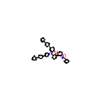 c1ccc(-c2ccc(-c3ccc(N(c4cccc(-c5ccc(-c6ccccc6)cc5)c4)c4cccc5c4oc4ccc6oc(-c7ccccc7)nc6c45)cc3)cc2)cc1